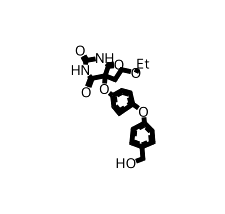 CCOCCC1(Oc2ccc(Oc3ccc(CO)cc3)cc2)C(=O)NC(=O)NC1=O